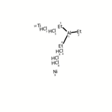 C[CH2][Al]([CH2]C)[CH2]C.Cl.Cl.Cl.Cl.Cl.[Ni].[Ti]